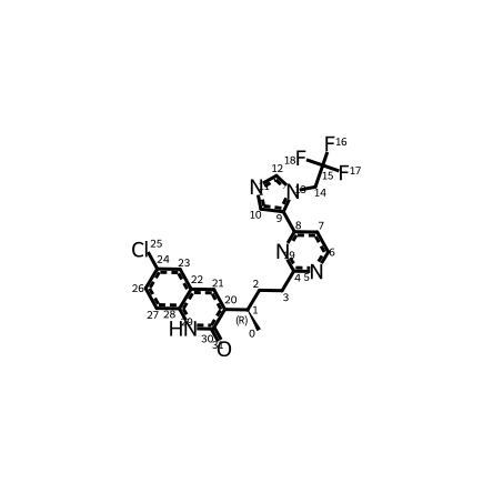 C[C@H](CCc1nccc(-c2cncn2CC(F)(F)F)n1)c1cc2cc(Cl)ccc2[nH]c1=O